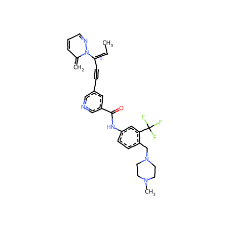 C=C1C=CC=NN1/C(C#Cc1cncc(C(=O)Nc2ccc(CN3CCN(C)CC3)c(C(F)(F)F)c2)c1)=C\C